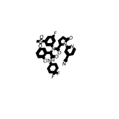 CS(=O)(=O)c1cc(F)cc(N(C(=O)C2CCC(=O)N2c2cc(C#N)ccn2)C(C(=O)NC2CCC(F)(F)CC2)c2ccccc2Cl)c1